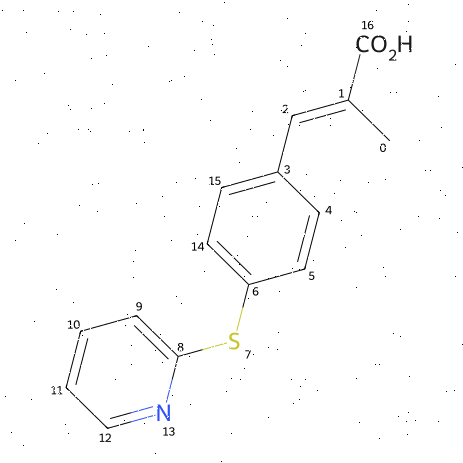 CC(=Cc1ccc(Sc2ccccn2)cc1)C(=O)O